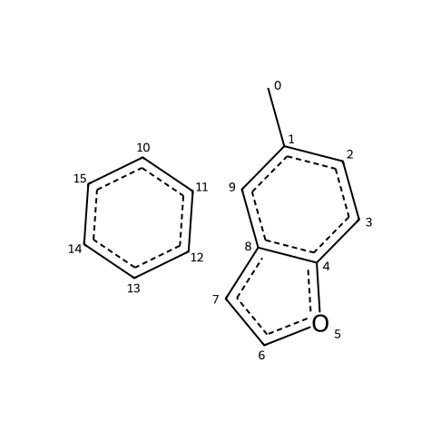 Cc1ccc2occc2c1.c1ccccc1